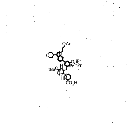 CC(=O)OCCCn1cc(C2CCOCC2)c2ccc(-c3cc(C[C@H](NC(=O)OC(C)(C)C)C(=O)N4CCC[C@@H](C(=O)O)N4)cc(O[Si](C(C)C)(C(C)C)C(C)C)c3)cc21